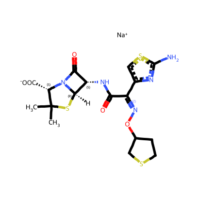 CC1(C)S[C@@H]2[C@@H](NC(=O)/C(=N\OC3CCSC3)c3csc(N)n3)C(=O)N2[C@H]1C(=O)[O-].[Na+]